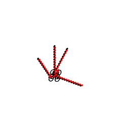 CCCCCCCCCCCCCCCCCCCCCC(=O)OCC(COC(=O)CCCCCCCCCCCCCCCCCCCCC)(COC(=O)C(C)CCCCCCCCCCCCCCCCCCC)COC(=O)C(C)CCCCCCCCCCCCCCCCCCC